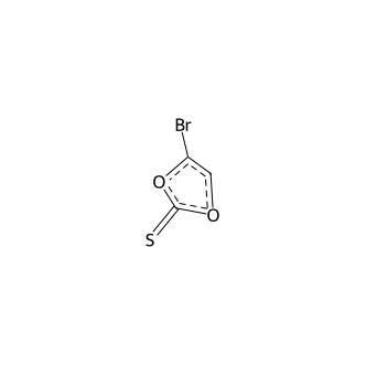 S=c1occ(Br)o1